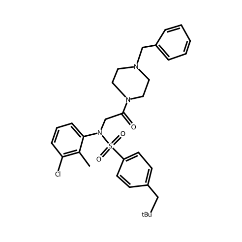 Cc1c(Cl)cccc1N(CC(=O)N1CCN(Cc2ccccc2)CC1)S(=O)(=O)c1ccc(CC(C)(C)C)cc1